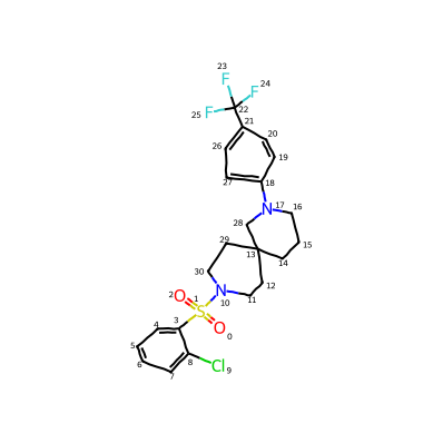 O=S(=O)(c1ccccc1Cl)N1CCC2(CCCN(c3ccc(C(F)(F)F)cc3)C2)CC1